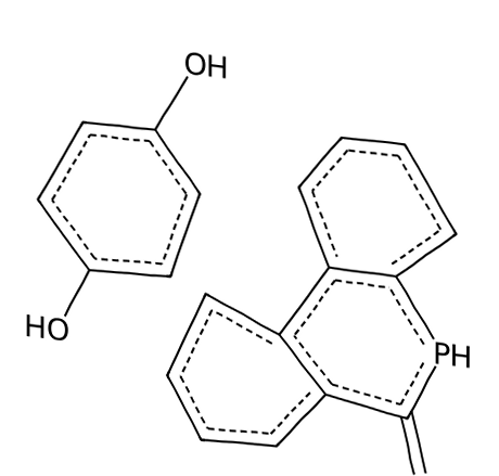 O=c1[pH]c2ccccc2c2ccccc12.Oc1ccc(O)cc1